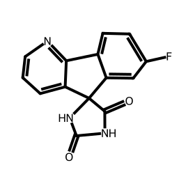 O=C1NC(=O)C2(N1)c1cc(F)ccc1-c1ncccc12